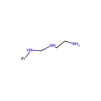 CC(C)NCNCCN